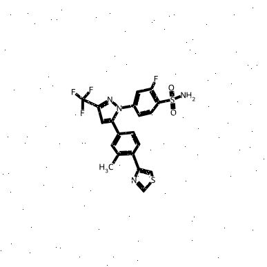 Cc1cc(-c2cc(C(F)(F)F)nn2-c2ccc(S(N)(=O)=O)c(F)c2)ccc1-c1cscn1